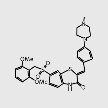 COc1cccc(OC)c1CS(=O)(=O)c1ccc2c(c1)S/C(=C\c1ccc(N3CCN(C)CC3)cc1)C(=O)N2